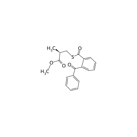 COC(=O)[C@@H](C)CSC(=O)c1ccccc1C(=O)c1ccccc1